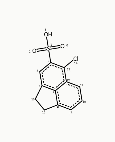 O=S(=O)(O)c1cc2c3c(cccc3c1Cl)CC2